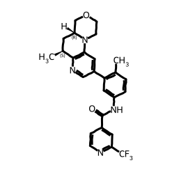 Cc1ccc(NC(=O)c2ccnc(C(F)(F)F)c2)cc1-c1cnc2c(c1)N1CCOC[C@H]1C[C@@H]2C